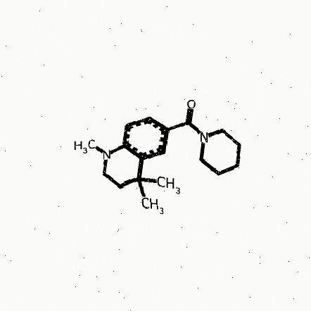 CN1CCC(C)(C)c2cc(C(=O)N3CCCCC3)ccc21